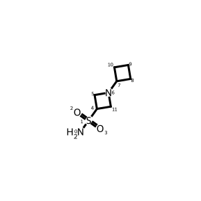 NS(=O)(=O)C1CN(C2CCC2)C1